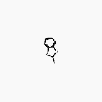 FC1Oc2ccccc2O1